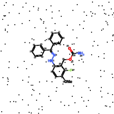 COc1ccc(NN=C(c2ccccc2)c2ccccc2)c(COC(N)=O)c1F